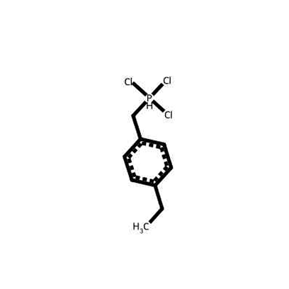 CCc1ccc(C[PH](Cl)(Cl)Cl)cc1